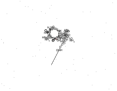 CCCCCCCCCCCCCCCC(=O)NCCOCCOCC(=O)NCC(=O)N[C@@H](CO)C(=O)N[C@@H](CCC(N)=O)C(=O)N[C@@H](Cc1c[nH]cn1)C(=O)N[C@@H](CO)C(=O)N[C@@H](CCCC)C(=O)N[C@H]1CCC(=O)NCCCC[C@@H](C(N)=O)NC(=O)[C@H](Cc2c[nH]c3ccccc23)NC(=O)[C@H](CCCNC(=N)N)NC(=O)[C@@H](Cc2ccccc2)NC(=O)[C@@H]2C[C@@H](O)CN2C1=O